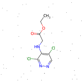 CCOC(=O)CNc1c(Cl)cnnc1Cl